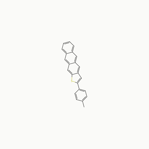 Cc1ccc(-c2cc3cc4cc5ccccc5cc4cc3s2)cc1